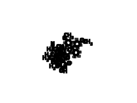 COc1ccc(C(OC[C@H]2O[C@@H](c3cn(C)c(=O)[nH]c3=O)[C@H](OP(=O)(O)N(C(C)C)C(C)(C)CCC#N)[C@@H]2O[Si](C)(C)C(C)(C)C)(c2ccccc2)c2ccc(OC)cc2)cc1